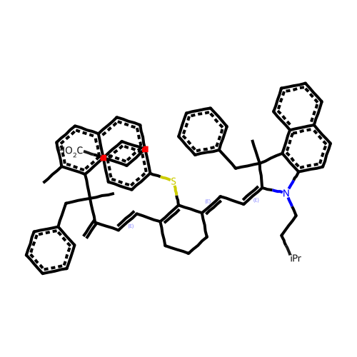 C=C(/C=C/C1=C(Sc2ccc(C(=O)O)cc2)C(=C/C=C2/N(CCC(C)C)c3ccc4ccccc4c3C2(C)Cc2ccccc2)/CCC1)C(C)(Cc1ccccc1)c1c(C)ccc2ccccc12